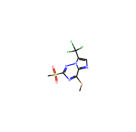 CSc1nc(S(C)(=O)=O)nn2c(C(F)(F)F)cnc12